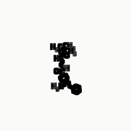 CC(C)(C)OC(=O)NCCNC(=O)N1CCC(CN)(CCc2ccccc2)CC1